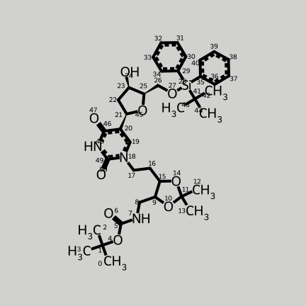 CC(C)(C)OC(=O)NCC1OC(C)(C)OC1CCn1cc([C@H]2C[C@@H](O)[C@@H](CO[Si](c3ccccc3)(c3ccccc3)C(C)(C)C)O2)c(=O)[nH]c1=O